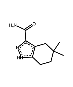 CC1(C)CCc2[nH]nc(C(N)=O)c2C1